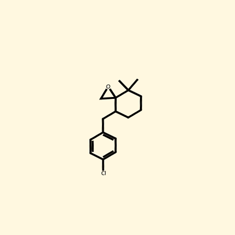 CC1(C)CCCC(Cc2ccc(Cl)cc2)C12CO2